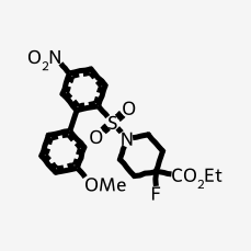 CCOC(=O)C1(F)CCN(S(=O)(=O)c2ccc([N+](=O)[O-])cc2-c2cccc(OC)c2)CC1